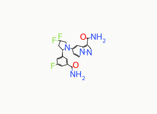 NC(=O)c1cc(F)cc([C@H]2CC(F)(F)CN2c2ccn3ncc(C(N)=O)c3c2)c1